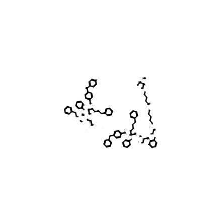 CC(C)CCN(C(=O)N(CCc1ccccc1)C(N)=O)C(=O)[C@@](Cc1ccccc1)(NC(=O)c1ccc(C(=O)c2ccc(Br)cc2)cc1)[C@H](O)CCCc1ccccc1.CC(C)[C@@H](CNC(=O)[C@@](Cc1ccccc1)(NC(=O)c1ccc(C(=O)c2ccccc2)cc1)[C@H](O)CCCc1ccccc1)C(=O)N[C@@H](Cc1ccccc1)C(=O)NCCCCCNC(=O)CCCC[C@@H]1SC[C@@H]2NC(=O)N[C@@H]21